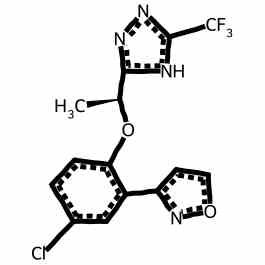 C[C@H](Oc1ccc(Cl)cc1-c1ccon1)c1nnc(C(F)(F)F)[nH]1